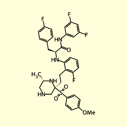 COc1ccc(S(=O)(=O)[C@@]2(CCc3c(F)cccc3N[C@@H](Cc3ccc(F)cc3)C(=O)Nc3cc(F)cc(F)c3)CNC[C@H](C)N2)cc1